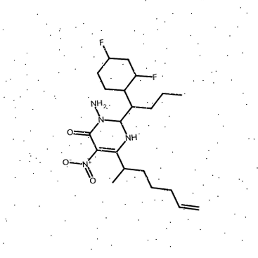 C=CCCCC(C)C1=C([N+](=O)[O-])C(=O)N(N)C(C(CCC)C2CCC(F)CC2F)N1